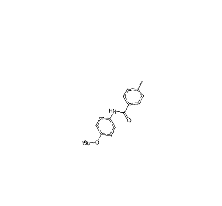 Cc1ccc(C(=O)Nc2ccc(OC(C)(C)C)cc2)cc1